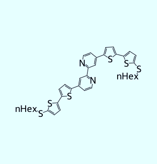 CCCCCCSc1ccc(-c2ccc(-c3ccnc(-c4cc(-c5ccc(-c6ccc(SCCCCCC)s6)s5)ccn4)c3)s2)s1